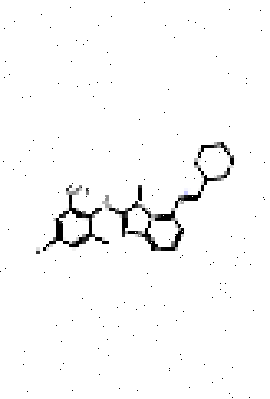 COc1cc(Cl)cc(C)c1Nc1nc2cccc(/C=C/C3CCCCC3)c2n1C